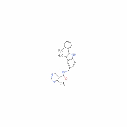 Cc1ncncc1C(=O)NCc1ccc2[nH]c(-c3ccccc3C(F)(F)F)c(C)c2c1